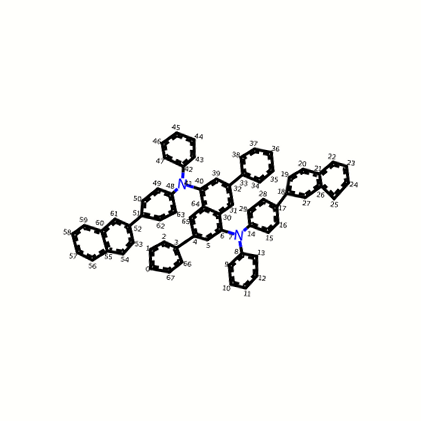 c1ccc(-c2cc(N(c3ccccc3)c3ccc(-c4ccc5ccccc5c4)cc3)c3cc(-c4ccccc4)cc(N(c4ccccc4)c4ccc(-c5ccc6ccccc6c5)cc4)c3c2)cc1